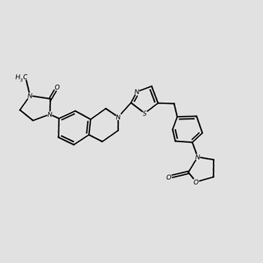 CN1CCN(c2ccc3c(c2)CN(c2ncc(Cc4ccc(N5CCOC5=O)cc4)s2)CC3)C1=O